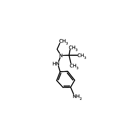 CCN(Nc1ccc(N)cc1)C(C)(C)C